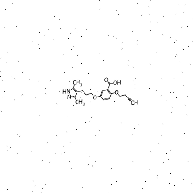 C#CCCOc1ccc(OCCCc2c(C)n[nH]c2C)cc1C(=O)O